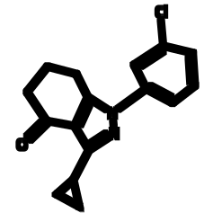 O=C1CCCc2c1c(C1CC1)nn2-c1cccc(Cl)c1